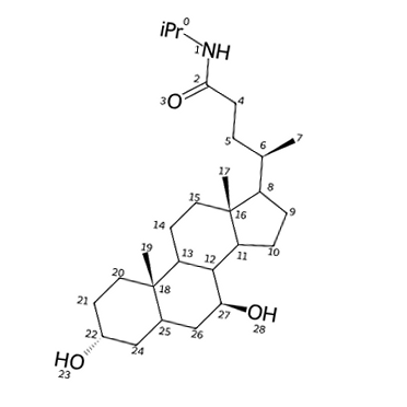 CC(C)NC(=O)CC[C@@H](C)C1CCC2C3C(CC[C@@]21C)[C@@]1(C)CC[C@@H](O)CC1C[C@@H]3O